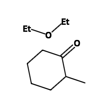 CC1CCCCC1=O.CCOCC